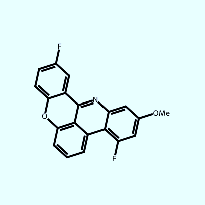 COc1cc(F)c2c(c1)nc1c3c(cccc32)Oc2ccc(F)cc2-1